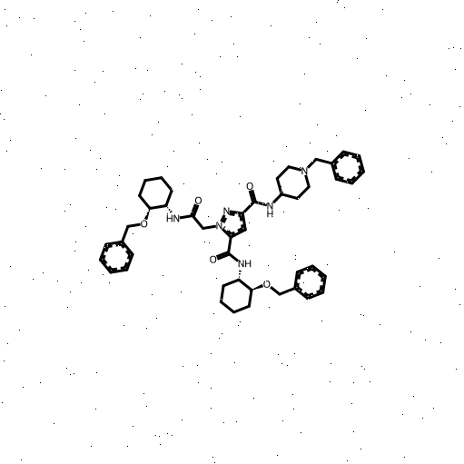 O=C(Cn1nc(C(=O)NC2CCN(Cc3ccccc3)CC2)cc1C(=O)N[C@H]1CCCC[C@@H]1OCc1ccccc1)N[C@H]1CCCC[C@@H]1OCc1ccccc1